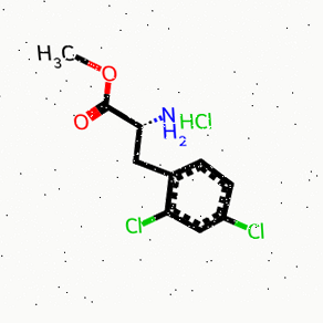 COC(=O)[C@H](N)Cc1ccc(Cl)cc1Cl.Cl